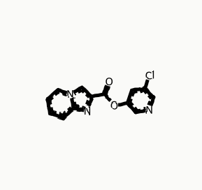 O=C(Oc1cncc(Cl)c1)c1cn2ccccc2n1